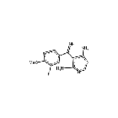 COc1ccc(C(=N)c2c(N)ncnc2N)cc1F